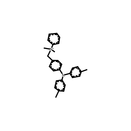 Cc1ccc(N(c2ccc(C)cc2)c2ccc(C[N+](C)(C)c3ccccc3)cc2)cc1